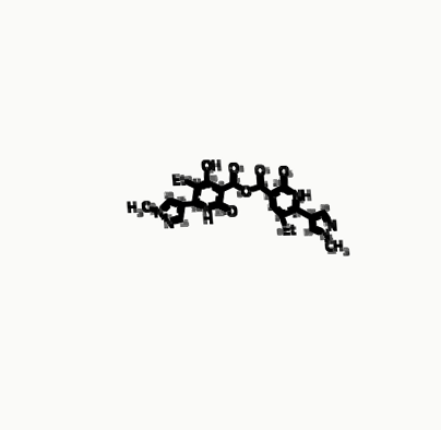 CCc1cc(C(=O)OC(=O)c2c(O)c(CC)c(-c3cnn(C)c3)[nH]c2=O)c(=O)[nH]c1-c1cnn(C)c1